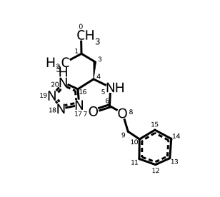 CC(C)C[C@@H](NC(=O)OCc1ccccc1)c1nnn[nH]1